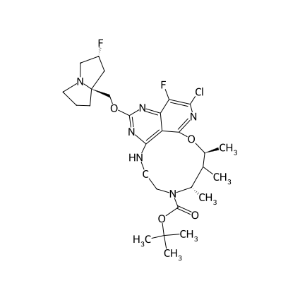 CC1[C@H](C)Oc2nc(Cl)c(F)c3nc(OC[C@@]45CCCN4C[C@H](F)C5)nc(c23)NCCN(C(=O)OC(C)(C)C)[C@H]1C